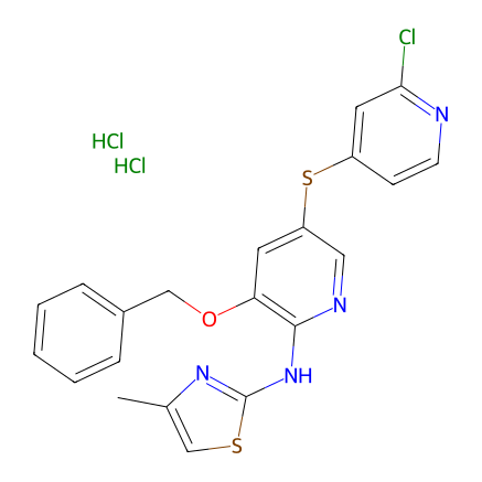 Cc1csc(Nc2ncc(Sc3ccnc(Cl)c3)cc2OCc2ccccc2)n1.Cl.Cl